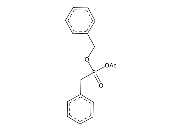 CC(=O)OP(=O)(Cc1ccccc1)OCc1ccccc1